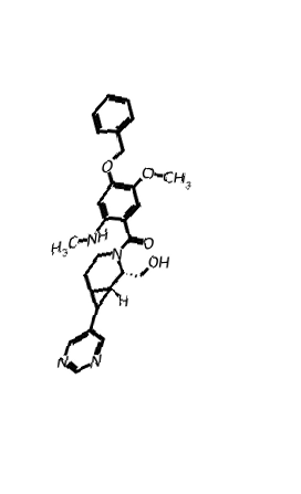 CNc1cc(OCc2ccccc2)c(OC)cc1C(=O)N1CCC2C(c3cncnc3)[C@H]2[C@H]1CO